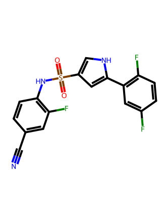 N#Cc1ccc(NS(=O)(=O)c2c[nH]c(-c3cc(F)ccc3F)c2)c(F)c1